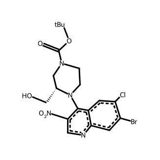 CC(C)(C)OC(=O)N1CCN(c2c([N+](=O)[O-])cnc3cc(Br)c(Cl)cc23)[C@H](CO)C1